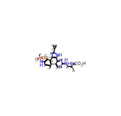 Cc1cc(NS(C)(=O)=O)c(F)c(-c2nc(C3CC3)[nH]c2-c2ccnc(NC[C@H](C)NC(=O)O)n2)c1